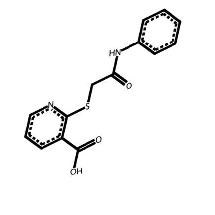 O=C(CSc1ncccc1C(=O)O)Nc1ccccc1